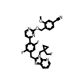 COc1cc(C#N)ccc1COc1nccc(-c2cc(F)c(Cc3nc4cccnc4n3CC3(CF)CC3)cc2F)n1